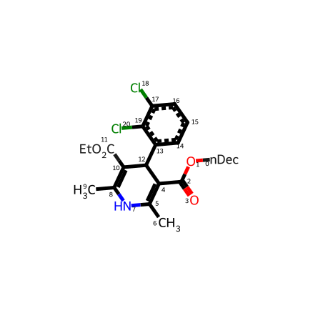 CCCCCCCCCCOC(=O)C1=C(C)NC(C)=C(C(=O)OCC)C1c1cccc(Cl)c1Cl